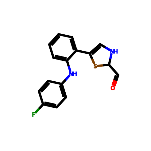 O=CC1NC=C(c2ccccc2Nc2ccc(F)cc2)S1